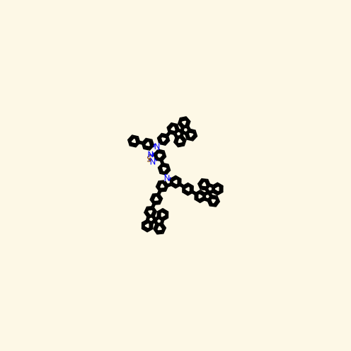 c1ccc(-c2ccc(N(c3ccc(-c4cccc5c4-c4ccccc4C54c5ccccc5-c5ccccc54)cc3)c3ccc(-c4ccc(-n5c6ccc(-c7ccc(-c8ccc9c(c8)C8(c%10ccccc%10-c%10ccccc%108)c8ccccc8-9)cc7)cc6c6cc(-c7ccc(-c8ccc9c(c8)C8(c%10ccccc%10-c%10ccccc%108)c8ccccc8-9)cc7)ccc65)cc4)c4nsnc34)cc2)cc1